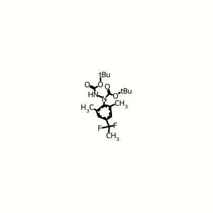 Cc1cc(C(C)(F)F)cc(C)c1N(NC(=O)OC(C)(C)C)C(=O)OC(C)(C)C